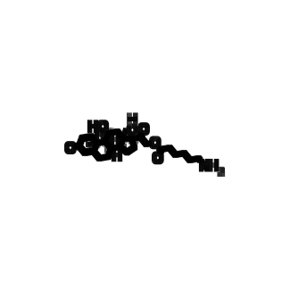 C[C@]12C=CC(=O)C=C1CC[C@@H]1[C@@H]2[C@@H](O)C[C@@]2(C)[C@H]1CC[C@]2(O)C(=O)COC(=O)CCCCCN